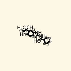 CC1(C)C(=O)Nc2cc3c(cc21)NC(NC(=O)c1cccnc1)N3